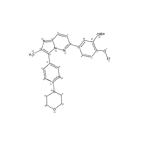 CCOc1ccc(-c2ccc3nc(C)c(-c4ccc(N5CCOCC5)nc4)n3n2)cc1OC